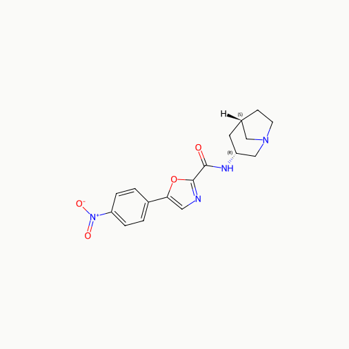 O=C(N[C@@H]1C[C@@H]2CCN(C2)C1)c1ncc(-c2ccc([N+](=O)[O-])cc2)o1